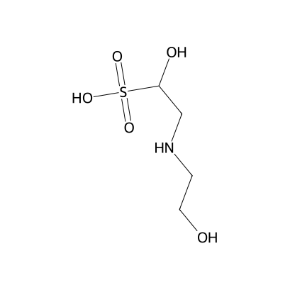 O=S(=O)(O)C(O)CNCCO